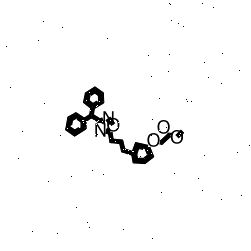 COC(=O)COc1cccc(CCCc2nc(C(c3ccccc3)c3ccccc3)no2)c1